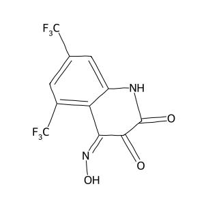 O=C1Nc2cc(C(F)(F)F)cc(C(F)(F)F)c2C(=NO)C1=O